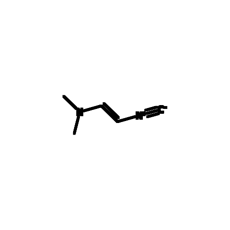 [C-]#[N+]/C=C/N(C)C